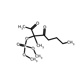 CCCCC(=O)C(C)(OP(=O)(OC)OC)C(C)=O